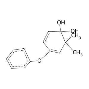 CC1(C)C=C(Oc2ccccc2)C=CC1(O)O